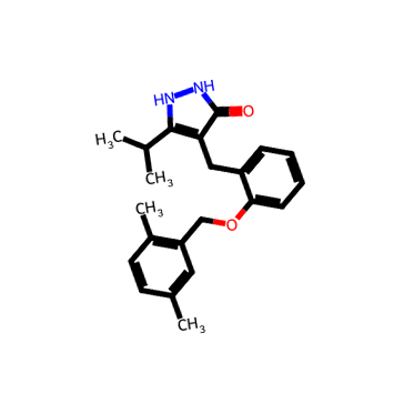 Cc1ccc(C)c(COc2ccccc2Cc2c(C(C)C)[nH][nH]c2=O)c1